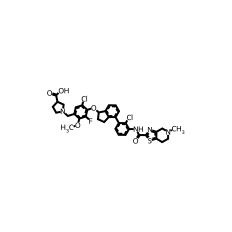 COc1c(CN2CCC(C(=O)O)C2)cc(Cl)c(OC2CCc3c(-c4cccc(NC(=O)c5nc6c(s5)CCN(C)C6)c4Cl)cccc32)c1F